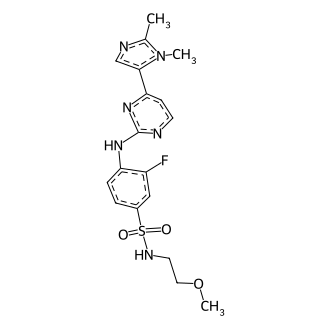 COCCNS(=O)(=O)c1ccc(Nc2nccc(-c3cnc(C)n3C)n2)c(F)c1